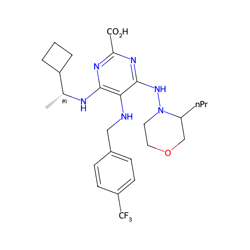 CCCC1COCCN1Nc1nc(C(=O)O)nc(N[C@H](C)C2CCC2)c1NCc1ccc(C(F)(F)F)cc1